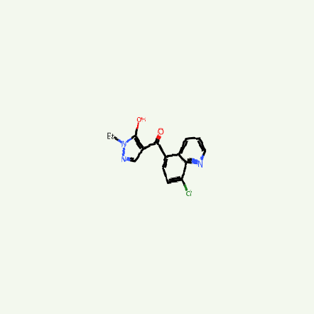 CCn1ncc(C(=O)c2ccc(Cl)c3ncccc23)c1O